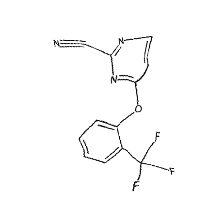 N#Cc1nccc(Oc2ccccc2C(F)(F)F)n1